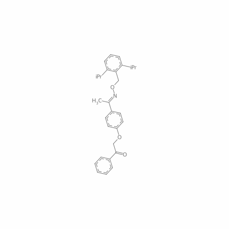 C/C(=N\OCc1c(C(C)C)cccc1C(C)C)c1ccc(OCC(=O)c2ccccc2)cc1